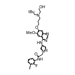 COc1cc2c(Nc3cnn(CC(=O)Nc4cccc(F)c4F)c3)ncnc2cc1OCCCN(CCO)CC(C)(C)C